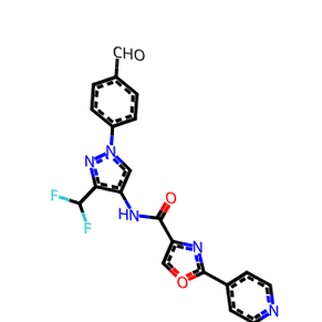 O=Cc1ccc(-n2cc(NC(=O)c3coc(-c4ccncc4)n3)c(C(F)F)n2)cc1